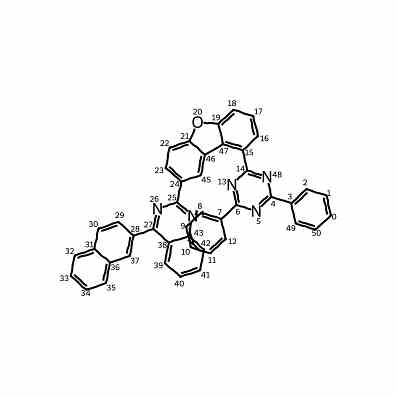 c1ccc(-c2nc(-c3ccccc3)nc(-c3cccc4oc5ccc(-c6nc(-c7ccc8ccccc8c7)c7ccccc7n6)cc5c34)n2)cc1